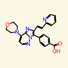 O=C(O)c1ccc(-c2c(C=Cc3ccccn3)nc3c(N4CCOCC4)ccnn23)cc1